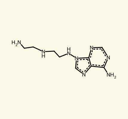 NCCNCCNn1cnc2c(N)ncnc21